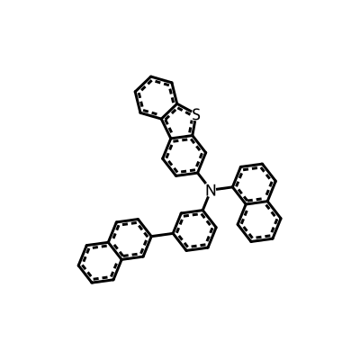 c1cc(-c2ccc3ccccc3c2)cc(N(c2ccc3c(c2)sc2ccccc23)c2cccc3ccccc23)c1